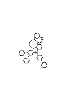 C=C1/C=C\C=C/Cc2c(N(c3ccc(-c4ccccc4)cc3)c3ccc(-c4ccccc4)c(-c4ccccc4)c3)cccc2C12c1ccccc1Oc1ccccc12